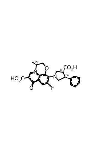 C[C@H]1COc2c(N3C[C@H](C(=O)O)[C@@H](c4ccccc4)C3)c(F)cc3c(=O)c(C(=O)O)cn1c23